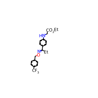 CCOC(=O)CNc1ccc(/C(CC)=N/OCc2ccc(C(F)(F)F)cc2)cc1